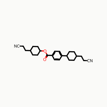 N#CCCC1CCC(OC(=O)c2ccc(C3CCC(CCC#N)CC3)cc2)CC1